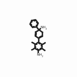 Cc1c(C)c(C2=CCC(N)(c3ccccc3)C=C2)c(C)c(C)c1N